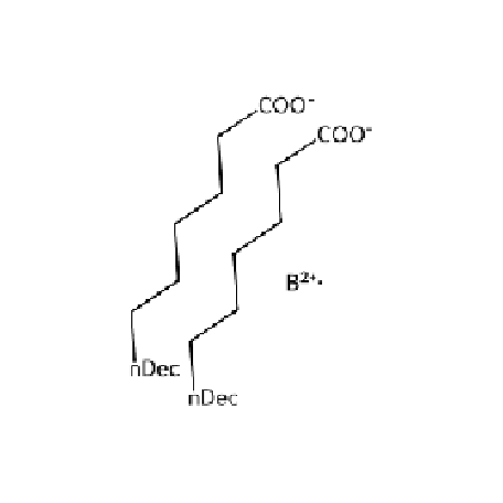 CCCCCCCCCCCCCCCC(=O)[O-].CCCCCCCCCCCCCCCC(=O)[O-].[B+2]